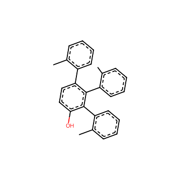 Cc1ccccc1-c1ccc(O)c(-c2ccccc2C)c1-c1ccccc1C